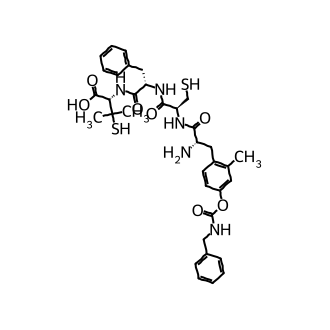 Cc1cc(OC(=O)NCc2ccccc2)ccc1C[C@H](N)C(=O)N[C@H](CS)C(=O)N[C@@H](Cc1ccccc1)C(=O)N[C@@H](C(=O)O)C(C)(C)S